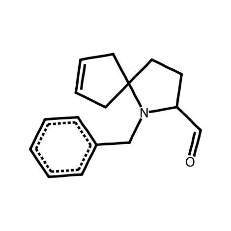 O=CC1CCC2(CC=CC2)N1Cc1ccccc1